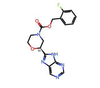 O=C(OCc1ccccc1F)N1CCO[C@H](c2nc3cncnc3[nH]2)C1